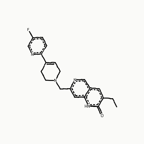 CCc1cc2cnc(CN3CC=C(c4ccc(F)cn4)CC3)cc2[nH]c1=O